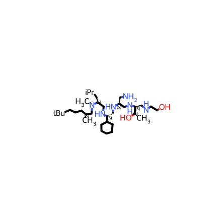 CC(C)C[C@@H](CN[C@H](CN[C@@H](CN)CN[C@@H](CNCCO)[C@H](C)O)C1CCCCC1)N(C)C[C@H](C)CCCC(C)(C)C